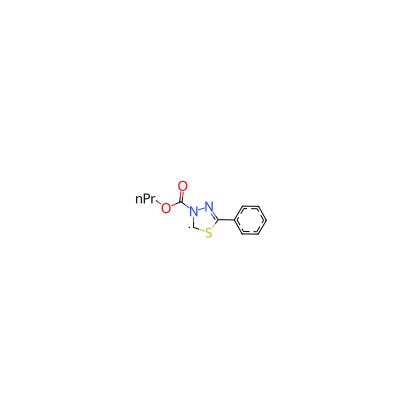 CCCOC(=O)N1[CH]SC(c2ccccc2)=N1